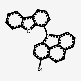 Brc1ccc2c3c1ccc1cccc(c13)n2-c1cccc2c1oc1ccccc12